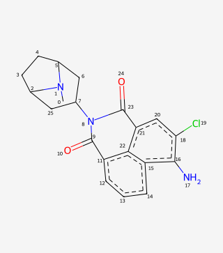 CN1C2CCC1CC(N1C(=O)c3cccc4c(N)c(Cl)cc(c34)C1=O)C2